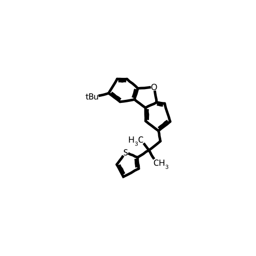 CC(C)(C)c1ccc2oc3ccc(CC(C)(C)c4cccs4)cc3c2c1